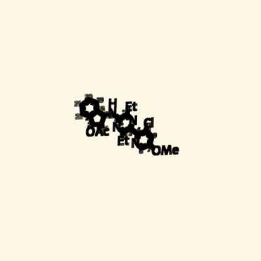 CCc1nc(-c2ncc(OC)cc2Cl)c(CC)nc1N[C@@H]1c2ccccc2C[C@@H]1OC(C)=O